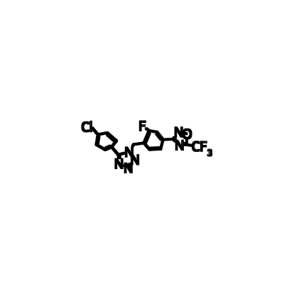 Fc1cc(-c2noc(C(F)(F)F)n2)ccc1Cn1nnnc1-c1ccc(Cl)cc1